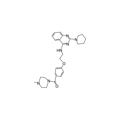 CN1CCN(C(=O)c2ccc(OCCNc3nc(N4CCCCC4)nc4ccccc34)cc2)CC1